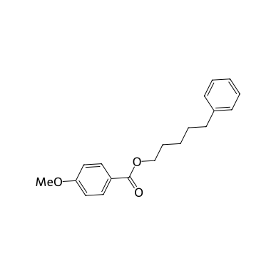 COc1ccc(C(=O)OCCCCCc2ccccc2)cc1